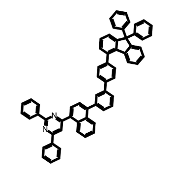 c1ccc(-c2cc(-c3ccc(-c4cccc(-c5ccc(-c6cccc7c6-c6ccccc6C7(c6ccccc6)c6ccccc6)cc5)c4)c4ccccc34)nc(-c3ccccc3)n2)cc1